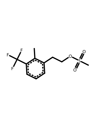 Cc1c(CCOS(C)(=O)=O)cccc1C(F)(F)F